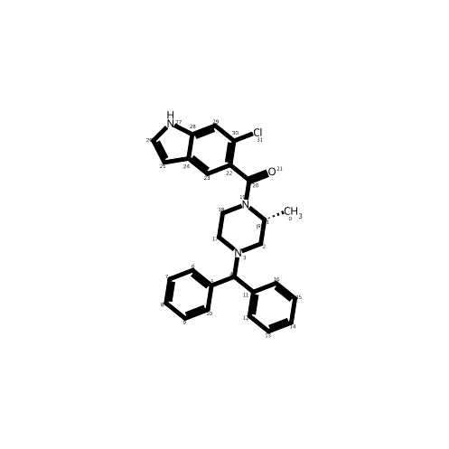 C[C@@H]1CN(C(c2ccccc2)c2ccccc2)CCN1C(=O)c1cc2cc[nH]c2cc1Cl